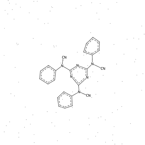 N#CN(c1ccccc1)c1nc(N(C#N)c2ccccc2)nc(N(C#N)c2ccccc2)n1